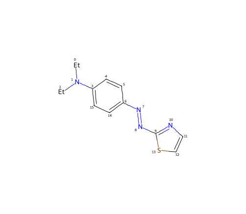 [CH2]CN(CC)c1ccc(N=Nc2nccs2)cc1